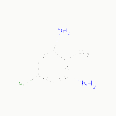 Nc1cc(Br)cc(N)c1C(F)(F)F